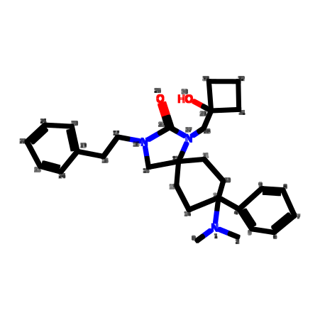 CN(C)C1(c2ccccc2)CCC2(CC1)CN(CCc1ccccc1)C(=O)N2CC1(O)CCC1